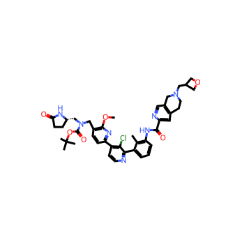 COc1nc(-c2ccnc(-c3cccc(NC(=O)c4cc5c(cn4)CN(CC4COC4)CC5)c3C)c2Cl)ccc1CN(C[C@@H]1CCC(=O)N1)C(=O)OC(C)(C)C